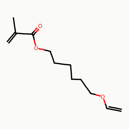 C=COCCCCCCOC(=O)C(=C)C